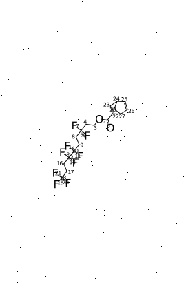 O=C(OCCC(F)(F)CCC(F)(F)C(F)(F)CCC(F)(F)F)C1=CC2C=CC1C2